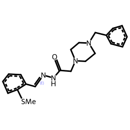 CSc1ccccc1/C=N/NC(=O)CN1CCN(Cc2ccccc2)CC1